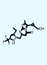 CCC1=CC(C(F)(F)F)NN1Cc1cc(=O)n2c(C3CC3CO)c(C)sc2n1